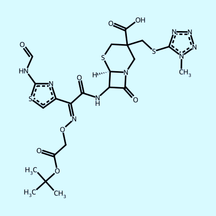 Cn1nnnc1SCC1(C(=O)O)CS[C@@H]2C(NC(=O)C(=NOCC(=O)OC(C)(C)C)c3csc(NC=O)n3)C(=O)N2C1